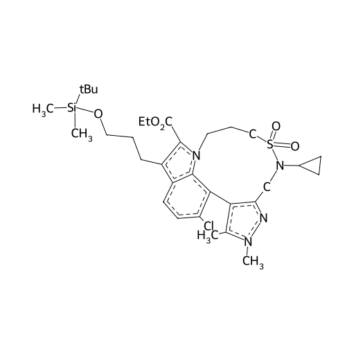 CCOC(=O)c1c(CCCO[Si](C)(C)C(C)(C)C)c2ccc(Cl)c3c2n1CCCS(=O)(=O)N(C1CC1)Cc1nn(C)c(C)c1-3